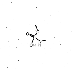 CNP(=O)(O)OC